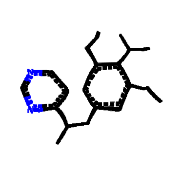 CCc1cc(CC(C)c2ccncn2)cc(CC)c1C(C)C